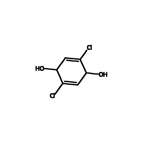 OC1C=C(Cl)C(O)C=C1Cl